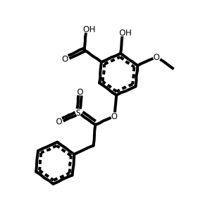 COc1cc(OC(Cc2ccccc2)=S(=O)=O)cc(C(=O)O)c1O